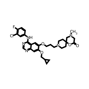 CN1CC(=O)OC2(CCN(CCCOc3cc4c(Nc5ccc(F)c(Cl)c5)ncnc4cc3OCC3CC3)CC2)C1